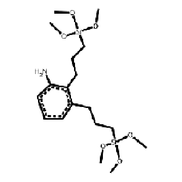 CO[Si](CCCc1cccc(N)c1CCC[Si](OC)(OC)OC)(OC)OC